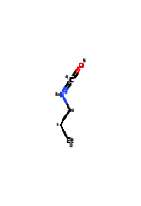 CCCC[N+]=C=O